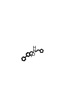 O=C(Cc1ccc(-c2ccccc2)cc1F)NCCC1CCCC1